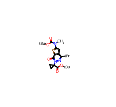 CC(C)c1nn(C2(C(=O)OC(C)(C)C)CC2)c(=O)c2sc(N(C)C(=O)OC(C)(C)C)cc12